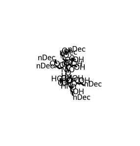 CCCCCCCCCCCC(=O)O[C@H](CCCCCCCCCCC)CC(=O)N[C@H]1C(OC(=O)C[C@@H](CCCCCCCCCCC)OC(=O)CCCCCCCCCCC)[C@H](OP(=O)(O)O)C(CO)O[C@H]1OCC1O[C@H](OP(=O)(O)O)[C@@H](NC(=O)C[C@H](O)CCCCCCCCCCC)C(OC(=O)C[C@H](O)CCCCCCCCCCC)[C@@H]1O